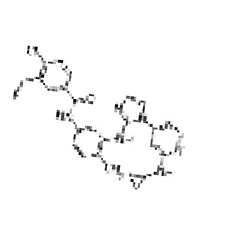 Cc1ccc(NC(=O)c2ccc(Cl)c(CF)c2)cc1Nc1nccn1-c1cc(NC2CC2)ncn1